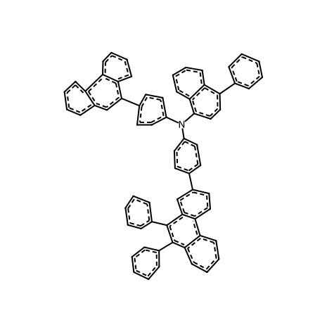 c1ccc(-c2ccc(N(c3ccc(-c4ccc5c(c4)c(-c4ccccc4)c(-c4ccccc4)c4ccccc45)cc3)c3ccc(-c4cc5ccccc5c5ccccc45)cc3)c3ccccc23)cc1